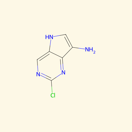 Nc1c[nH]c2cnc(Cl)nc12